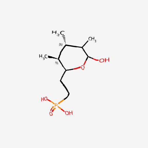 CC1C(O)OC(CCP(=O)(O)O)[C@@H](C)[C@@H]1C